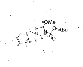 COC1CC2(Cc3ccccc3C2)CN1C(=O)OC(C)(C)C